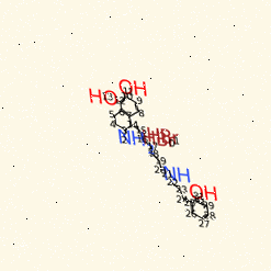 Br.Br.NC1CCc2c(ccc(O)c2O)C1CCCCCCNCCCc1ccccc1O